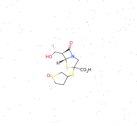 C[C@@H](O)[C@H]1C(=O)N2CC(S[C@H]3CC[S@@+]([O-])C3)(C(=O)O)S[C@H]12